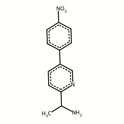 CC(N)c1ccc(-c2ccc([N+](=O)[O-])cc2)cn1